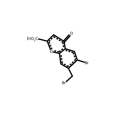 CCOC(=O)c1cc(=O)c2cc(Br)c(CBr)cc2o1